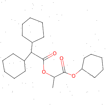 CC(OC(=O)C(C1CCCCC1)C1CCCCC1)C(=O)OC1CCCCC1